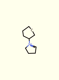 C1=[N+](C2CCCCC2)CCC1